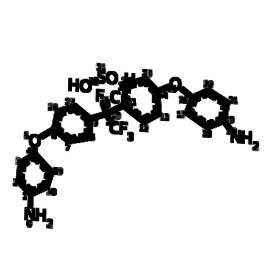 Nc1ccc(Oc2ccc(C(c3ccc(Oc4ccc(N)cc4)cc3)(C(F)(F)F)C(F)(F)F)cc2)cc1.O=S(=O)(O)O